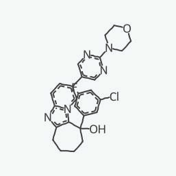 OC1(c2cc(F)cc(Cl)c2)CCCCc2nc3ccc(-c4cnc(N5CCOCC5)nc4)cn3c21